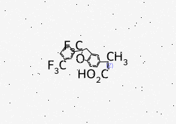 C/C(=C/C(=O)O)c1ccc2c(c1)CC(c1cccc(C(F)(F)F)c1)(C(F)(F)F)O2